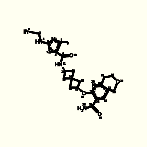 Cc1nc(NCC(C)C)sc1C(=O)N[C@H]1CC2(C1)C[C@H](Oc1nc3c(cc1C(N)=O)COCC3)C2